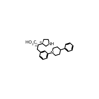 O=C(O)[C@@H](Cc1cccc(N2CCC(c3ccccc3)CC2)c1)[C@H]1CCNC1